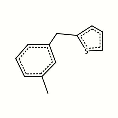 Cc1cccc(Cc2cccs2)c1